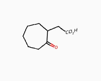 O=C(O)CC1CCCCCC1=O